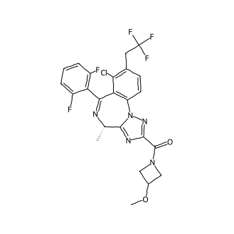 COC1CN(C(=O)c2nc3n(n2)-c2ccc(CC(F)(F)F)c(Cl)c2C(c2c(F)cccc2F)=N[C@H]3C)C1